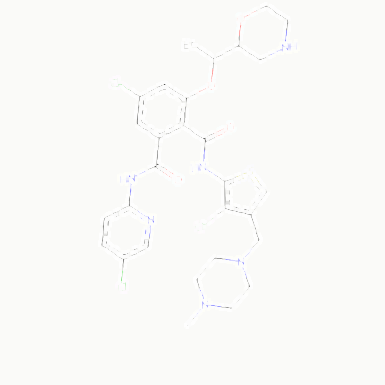 CCC(Oc1cc(Cl)cc(C(=O)Nc2ccc(Cl)cn2)c1C(=O)Nc1scc(CN2CCN(C)CC2)c1Cl)C1CNCCO1